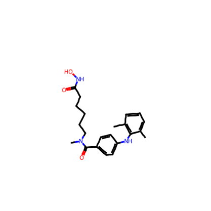 Cc1cccc(C)c1Nc1ccc(C(=O)N(C)CCCCCC(=O)NO)cc1